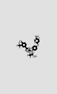 Nc1ccc(Oc2ccc(Nc3nnc(-c4ccc(Cl)c(C(F)(F)F)c4)[nH]3)cc2)nn1.O=C(O)C(F)(F)F